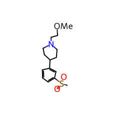 COCCN1CCC(c2cccc(S(C)(=O)=O)c2)CC1